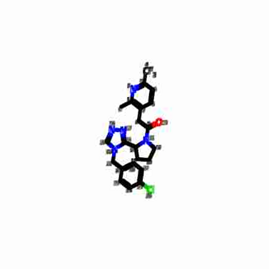 Cc1nc(C(F)(F)F)ccc1CC(=O)N1CCCC1c1nncn1Cc1ccc(Cl)cc1